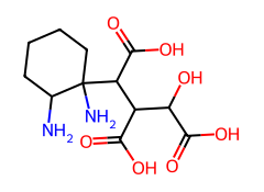 NC1CCCCC1(N)C(C(=O)O)C(C(=O)O)C(O)C(=O)O